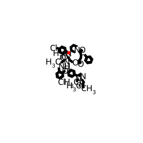 CC(NCc1ccc(Cl)cc1Oc1ccc(-c2cnc(CN(C)C)n2C)cc1)C(=O)N[C@H]1COC(=O)C[C@@H](Cc2ccccc2)C(=O)N2CCC[C@@](Cc3ccc(Cl)cc3)(C2)N(C)C1=O